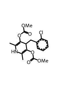 COC(=O)OC1=C(C)NC(C)=C(OC(=O)OC)C1Cc1ccccc1Cl